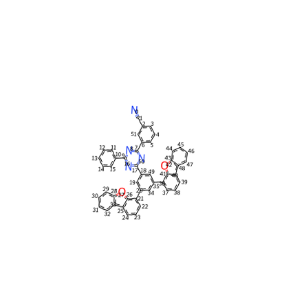 N#Cc1cccc(-c2nc(-c3ccccc3)nc(-c3cc(-c4cccc5c4oc4ccccc45)cc(-c4cccc5c4oc4ccccc45)c3)n2)c1